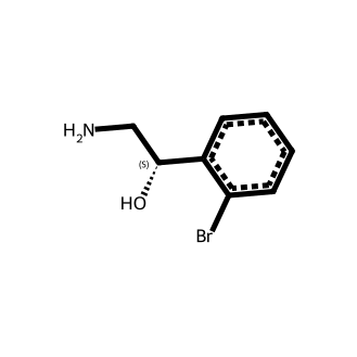 NC[C@@H](O)c1ccccc1Br